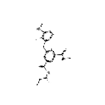 C=C(N[C@H](C)CC)c1cc(Cc2cncc(NC)c2C)nc(C(=O)NC)c1